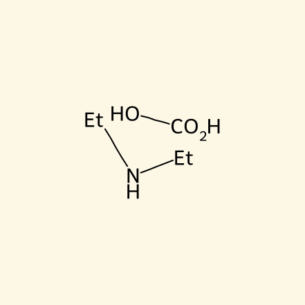 CCNCC.O=C(O)O